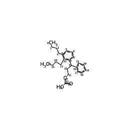 CCCCc1cccc(C(CCOC(=O)O)c2ccccc2)c1CCCC